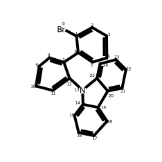 Brc1ccccc1-c1ccccc1-n1c2ccccc2c2ccccc21